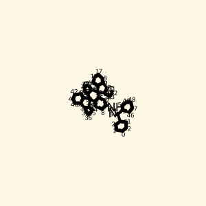 c1ccc(C(=NNc2ccc3c(c2)C2(c4ccccc4-c4ccccc42)c2ccccc2C32c3ccccc3-c3ccccc32)c2ccccc2)cc1